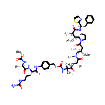 CC[C@H](C)[C@@H]([C@@H](CC(=O)N1CCC[C@H]1[C@H](OC)[C@@H](C)C(=O)N[C@@H](Cc1ccccc1)c1nccs1)OC)N(C)C(=O)[C@@H](NC(=O)C(C)(C)NC(=O)OCc1ccc(NC(=O)[C@H](CCCNC(N)=O)NC(=O)[C@@H](NC(=O)OC(C)(C)C)C(C)C)cc1)C(C)C